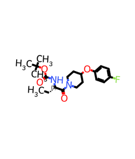 CC[C@H](NC(=O)OC(C)(C)C)C(=O)N1CCC(Oc2ccc(F)cc2)CC1